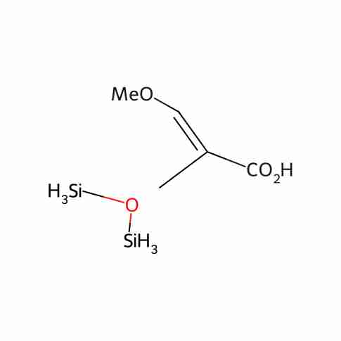 COC=C(C)C(=O)O.[SiH3]O[SiH3]